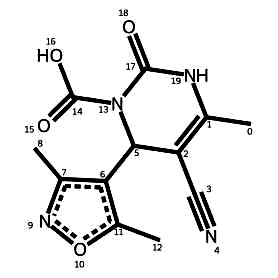 CC1=C(C#N)C(c2c(C)noc2C)N(C(=O)O)C(=O)N1